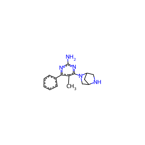 Cc1c(-c2ccccc2)nc(N)nc1N1CC2CC1CN2